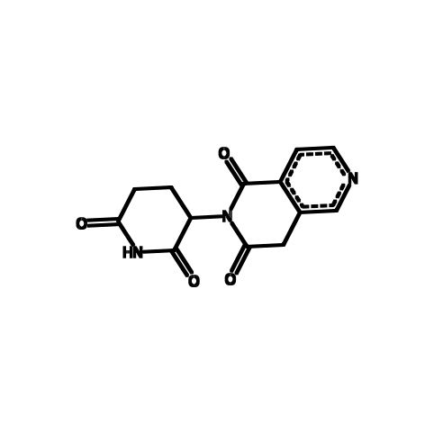 O=C1CCC(N2C(=O)Cc3cnccc3C2=O)C(=O)N1